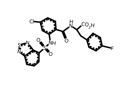 O=C(NC(Cc1ccc(F)cc1)C(=O)O)c1ccc(Cl)cc1NS(=O)(=O)c1cccc2nsnc12